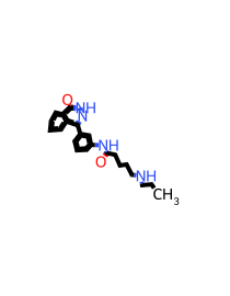 CCCNCCCCC(=O)Nc1cccc(-c2n[nH]c(=O)c3ccccc23)c1